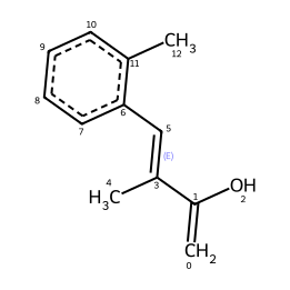 C=C(O)/C(C)=C/c1ccccc1C